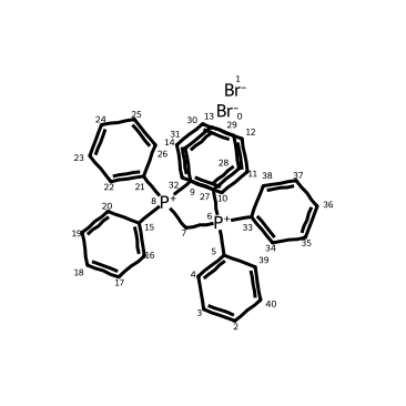 [Br-].[Br-].c1ccc([P+](C[P+](c2ccccc2)(c2ccccc2)c2ccccc2)(c2ccccc2)c2ccccc2)cc1